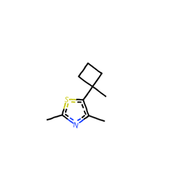 Cc1nc(C)c(C2(C)CCC2)s1